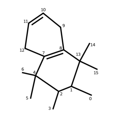 CC1C(C)C(C)(C)C2=C(CC=CC2)C1(C)C